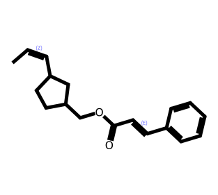 C/C=C\C1CCC(COC(=O)/C=C/c2ccccc2)C1